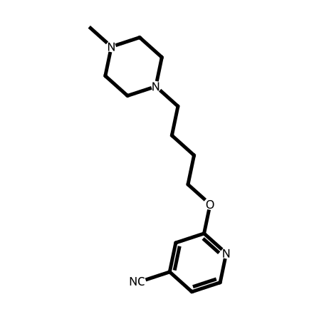 CN1CCN(CCCCOc2cc(C#N)ccn2)CC1